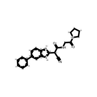 N#CC(C(=O)NCC(=O)N1CCCC1)c1nc2ccc(-c3ccccc3)cc2s1